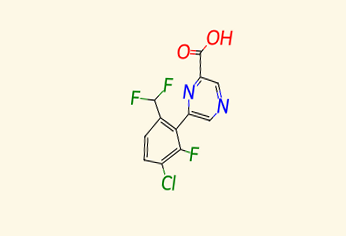 O=C(O)c1cncc(-c2c(C(F)F)ccc(Cl)c2F)n1